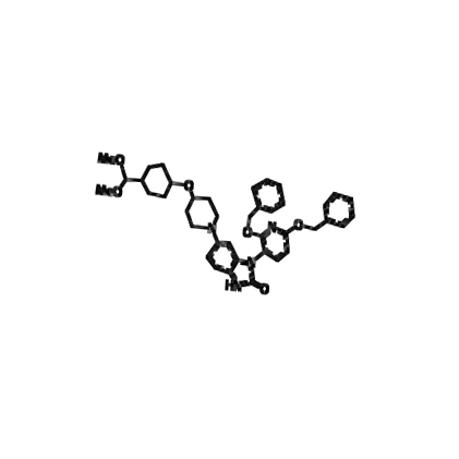 COC(OC)C1CCC(OC2CCN(c3ccc4[nH]c(=O)n(-c5ccc(OCc6ccccc6)nc5OCc5ccccc5)c4c3)CC2)CC1